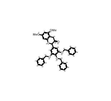 COc1cc(OC)c2c(c1)OC(c1cc(OCc3ccccc3)c(OCc3ccccc3)c(OCc3ccccc3)c1)C(=O)C2